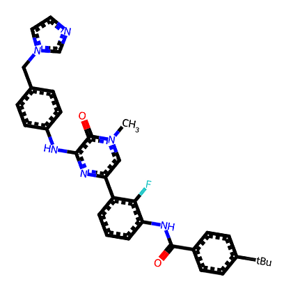 Cn1cc(-c2cccc(NC(=O)c3ccc(C(C)(C)C)cc3)c2F)nc(Nc2ccc(Cn3ccnc3)cc2)c1=O